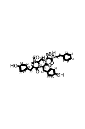 CCCC[C@@H](C(=O)NCCc1ccccc1)N1CC2N(C(=O)O)OC(Cc3ccc(O)cc3)C(=O)N2C(Cc2ccc(O)cc2)C1=O